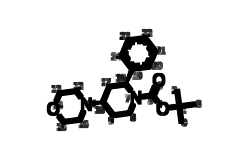 CC(C)(C)OC(=O)N1CC[C@@H](N2CCOCC2)C[C@H]1c1ccccc1